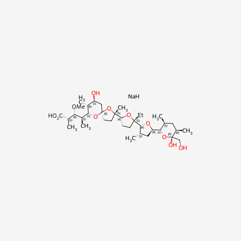 CC[C@@]1([C@@H]2O[C@@H]([C@H]3O[C@@](O)(CO)[C@H](C)C[C@@H]3C)C[C@@H]2C)CC[C@H]([C@]2(C)CC[C@]3(C[C@H](O)[C@@H](C)[C@@H]([C@@H](C)[C@@H](OC)[C@H](C)C(=O)O)O3)O2)O1.[NaH]